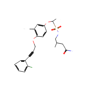 COc1cc(OC(C)S(=O)(=O)NCC(C)CC(N)=O)ccc1OCC#Cc1ccccc1Cl